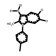 CCN(CC)c1c(C(=O)O)n(-c2ccc(C)cc2)c2cc(Cl)c(Cl)cc12